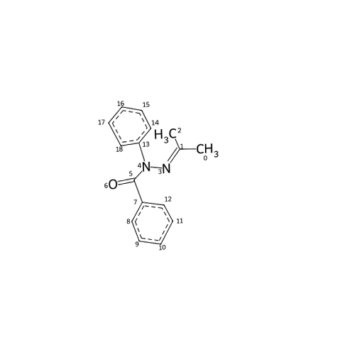 CC(C)=NN(C(=O)c1ccccc1)c1ccccc1